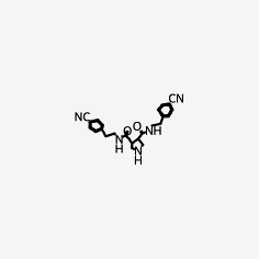 N#Cc1ccc(CCNC(=O)C2CNCC2C(=O)NCCc2ccc(C#N)cc2)cc1